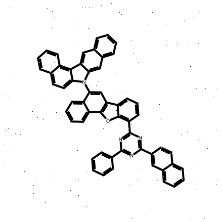 c1ccc(-c2nc(-c3ccc4ccccc4c3)nc(-c3cccc4c3oc3c5ccccc5c(-n5c6cc7ccccc7cc6c6c7ccccc7ccc65)cc43)n2)cc1